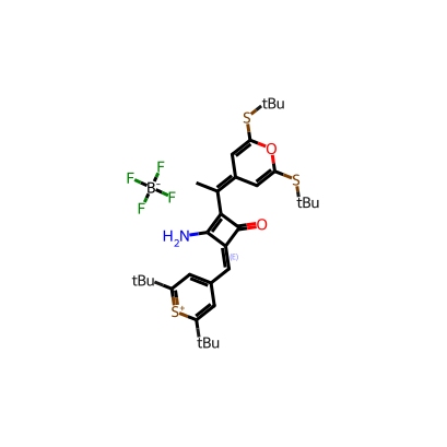 CC(=C1C=C(SC(C)(C)C)OC(SC(C)(C)C)=C1)C1=C(N)/C(=C\c2cc(C(C)(C)C)[s+]c(C(C)(C)C)c2)C1=O.F[B-](F)(F)F